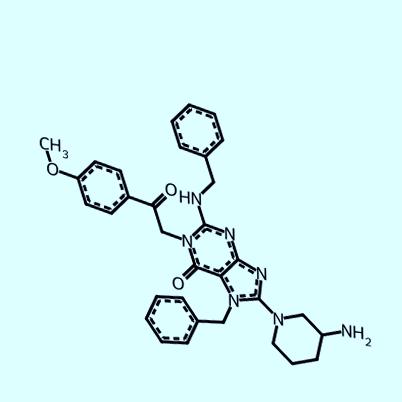 COc1ccc(C(=O)Cn2c(NCc3ccccc3)nc3nc(N4CCCC(N)C4)n(Cc4ccccc4)c3c2=O)cc1